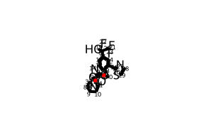 CC(C)(C)OC(=O)N1C2CC1CN(c1nc3cc(C(O)C(F)(F)F)cc(-c4nccs4)c3o1)C2